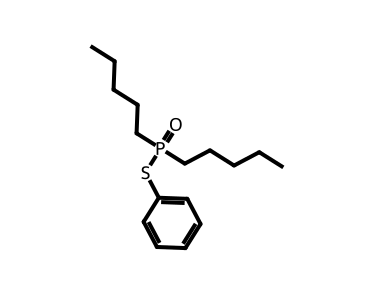 CCCCCP(=O)(CCCCC)Sc1ccccc1